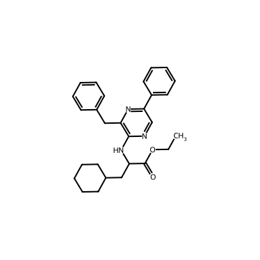 CCOC(=O)C(CC1CCCCC1)Nc1ncc(-c2ccccc2)nc1Cc1ccccc1